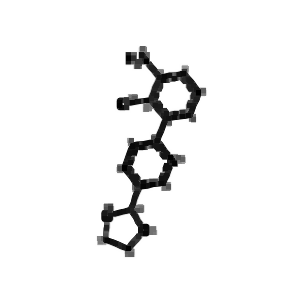 Nc1cccc(-c2ccc(C3OCCO3)cn2)c1Cl